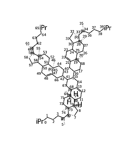 CC(C)CCC[C@@H](C)[C@H]1CC[C@H]2[C@@H]3CC=C4C[C](C5CC[C@@]6(C)C(=CCC7C6CC[C@@]6(C)C7CC[C@@H]6[C@H](C)CCCC(C)C)C5)C(C5CC[C@@]6(C)C(=CCC7C6CC[C@@]6(C)C7CC[C@@H]6[C@H](C)CCCC(C)C)C5)C[C@]4(C)[C@H]3CC[C@]12C